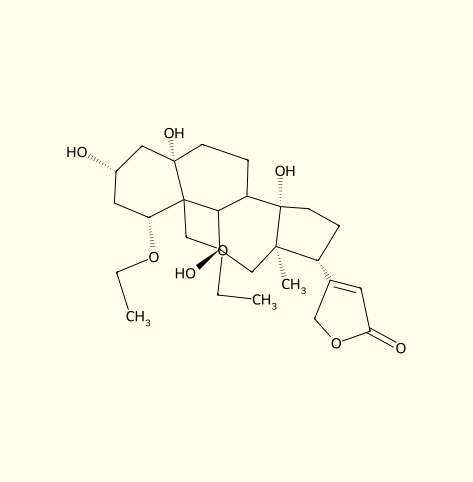 CCOCC12C3C(CC[C@]1(O)C[C@@H](O)C[C@H]2OCC)[C@@]1(O)CC[C@H](C2=CC(=O)OC2)[C@@]1(C)C[C@H]3O